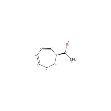 CC(Br)[C@@H]1C#CC=CCC1